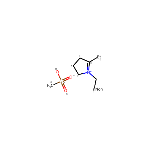 CCCCCCCCCC[N+]1=C(CC)CCC1.O=S(=O)([O-])C(F)(F)F